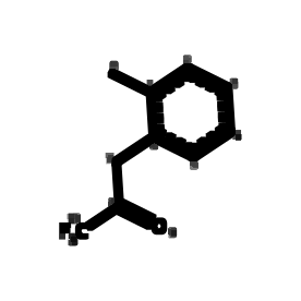 Cc1ccccc1CC(=O)C(F)(F)F